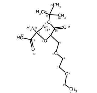 CCOCCOCC(OC(N)(N)C(=O)O)C(=O)OC(C)(C)C